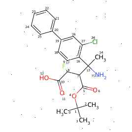 CC(C)(C)OC(=O)C(C(F)C(=O)O)C(C)(N)c1ccc(-c2ccccc2)cc1Cl